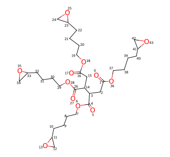 O=C(CC(C(=O)OCCCCC1CO1)C(CC(=O)OCCCCC1CO1)C(=O)OCCCCC1CO1)OCCCCC1CO1